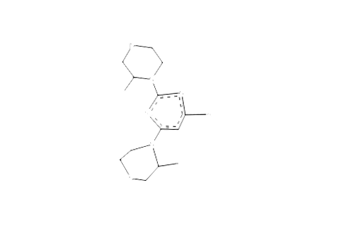 Nc1cc(N2CCNCC2F)nc(N2CCNCC2F)n1